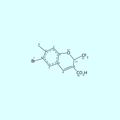 Cc1cc2c(cc1Br)C=C(C(=O)O)C(C(F)(F)F)O2